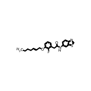 CCCC/C=C/COc1cccc(CC(=O)Nc2ccc3ncsc3c2)c1F